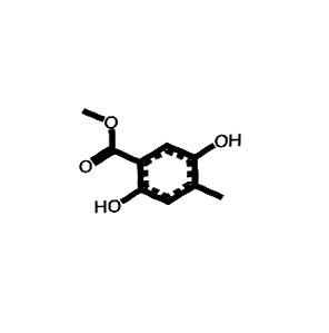 COC(=O)c1cc(O)c(C)cc1O